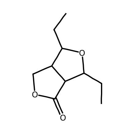 CCC1OC(CC)C2C(=O)OCC12